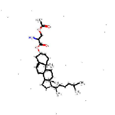 CC(=O)OCC(N)C(=O)O[C@H]1CC[C@@]2(C)C(=CCC3C2CC[C@@]2(C)C3CC[C@@H]2[C@H](C)CCCC(C)C)C1